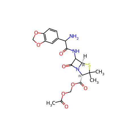 CC(=O)OCOC(=O)[C@@H]1N2C(=O)C(NC(=O)C(N)c3ccc4c(c3)OCO4)[C@H]2SC1(C)C